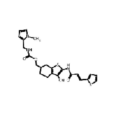 Cn1cccc1CNC(=O)OCC1CCc2c(sc(NC(=O)C=Cc3cccs3)c2C#N)C1